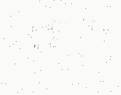 CONc1cccc(S(=O)(=O)Nc2nc3ccccc3nc2Nc2ccccc2F)c1